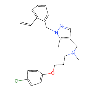 C=Cc1ccccc1Cn1ncc(CN(C)CCCOc2ccc(Cl)cc2)c1C